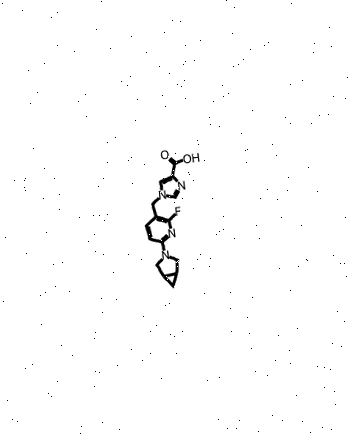 O=C(O)c1cn(Cc2ccc(N3CC4CC4C3)nc2F)cn1